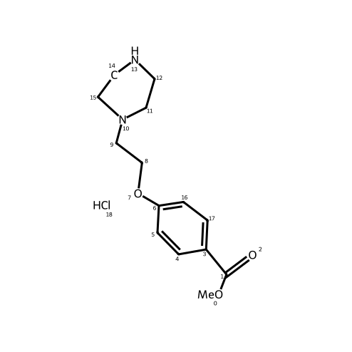 COC(=O)c1ccc(OCCN2CCNCC2)cc1.Cl